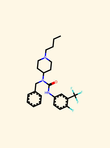 CCCCN1CCC(N(Cc2ccccc2)C(=O)Nc2ccc(F)c(C(F)(F)F)c2)CC1